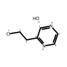 Cl.ClCCc1cnccn1